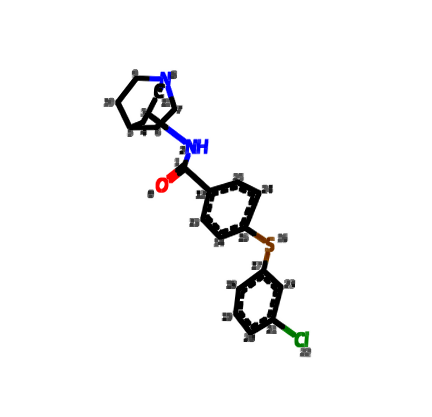 O=C(NC1CC2CCN(CC2)C1)c1ccc(Sc2cccc(Cl)c2)cc1